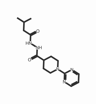 CC(C)CC(=O)NNC(=O)C1CCN(c2ncccn2)CC1